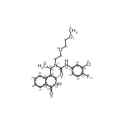 COCCOCCN(C(=O)Nc1ccc(F)c(Cl)c1)[C@H](C)c1c[nH]c(=O)c2ccccc12